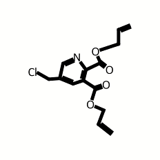 C=CCOC(=O)c1cc(CCl)cnc1C(=O)OCC=C